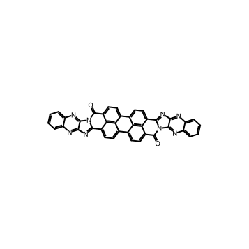 O=c1c2ccc3c4ccc5c6c(ccc(c7ccc(c2c37)c2nc3nc7ccccc7nc3n12)c46)c(=O)n1c2nc3ccccc3nc2nc51